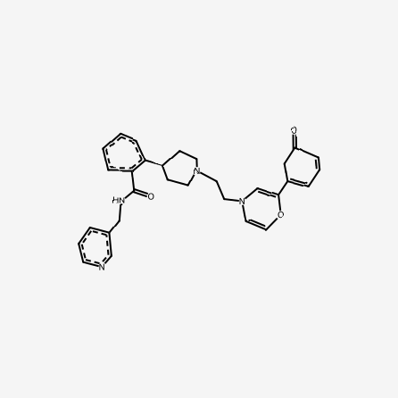 O=C1C=CC=C(C2=CN(CCN3CCC(c4ccccc4C(=O)NCc4cccnc4)CC3)C=CO2)C1